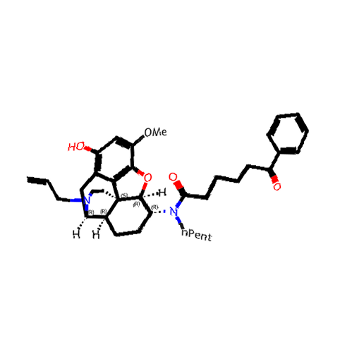 C=CCN1CC[C@]23c4c5c(O)cc(OC)c4O[C@H]2[C@H](N(CCCCC)C(=O)CCCCC(=O)c2ccccc2)CC[C@H]3[C@H]1C5